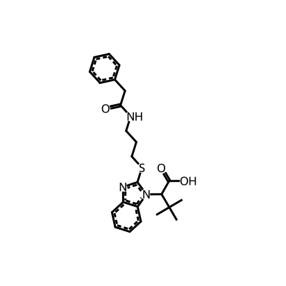 CC(C)(C)C(C(=O)O)n1c(SCCCNC(=O)Cc2ccccc2)nc2ccccc21